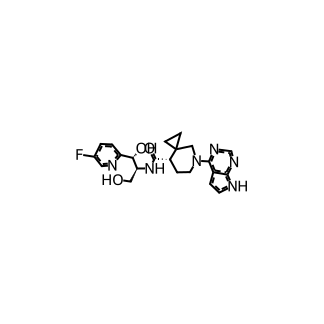 O=C(N[C@@H](CO)[C@@H](O)c1ccc(F)cn1)[C@H]1CCN(c2ncnc3[nH]ccc23)CC12CC2